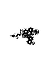 CCOC(=O)CCNC(=O)c1ccccc1S(=O)(=O)Cc1c(O[C@H](Cn2ccnc2)c2ccccc2)ccc2c1CCCC2=O